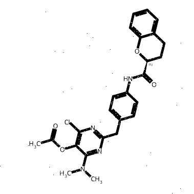 CC(=O)Oc1c(Cl)nc(Cc2ccc(NC(=O)[C@@H]3CCc4ccccc4O3)cc2)nc1N(C)C